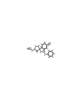 OCC1CCC(COCc2ccccc2)(c2ccc(Cl)cc2)O1